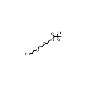 CC(S)(S)C(=O)OCCOCCOCCO